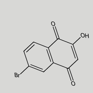 O=C1C=C(O)C(=O)c2ccc(Br)cc21